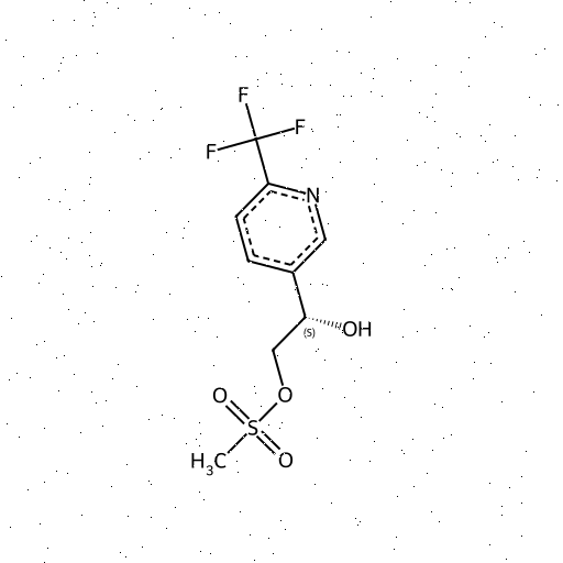 CS(=O)(=O)OC[C@@H](O)c1ccc(C(F)(F)F)nc1